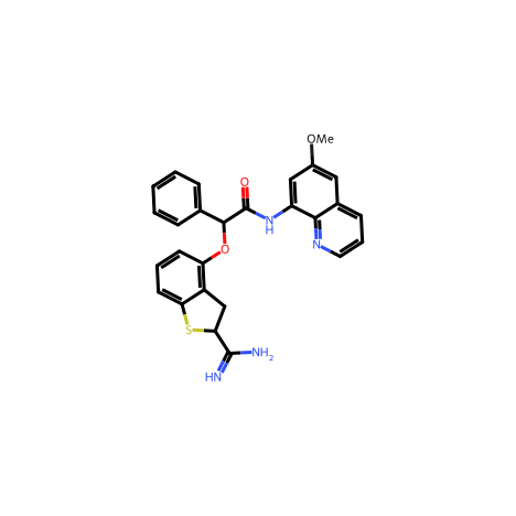 COc1cc(NC(=O)C(Oc2cccc3c2CC(C(=N)N)S3)c2ccccc2)c2ncccc2c1